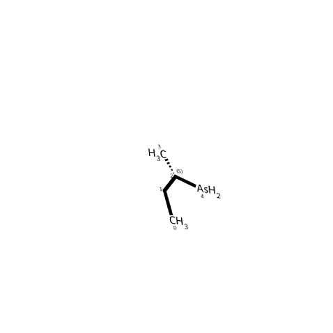 CC[C@H](C)[AsH2]